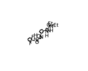 CCC(CC)NC(=O)c1cc(-c2cccc(-c3ncc(C(=O)NCc4c(F)cccc4F)o3)c2)[nH]n1